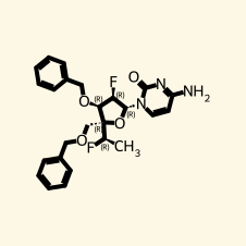 C[C@@H](F)[C@]1(COCc2ccccc2)O[C@@H](n2ccc(N)nc2=O)[C@H](F)[C@@H]1OCc1ccccc1